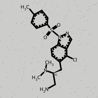 Cc1ccc(S(=O)(=O)n2ncc3c(Cl)c(C[C@@H](CN)N(C)C)ccc32)cc1